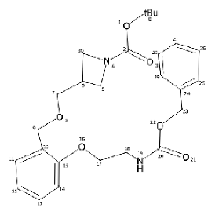 CC(C)(C)OC(=O)N1CC(COCc2ccccc2OCCNC(=O)OCc2ccccc2)C1